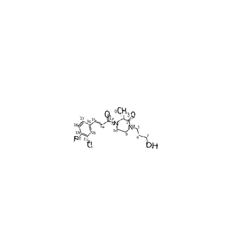 C[C@@H]1C(=O)N(CCCO)CCN1C(=O)C=Cc1ccc(F)c(Cl)c1